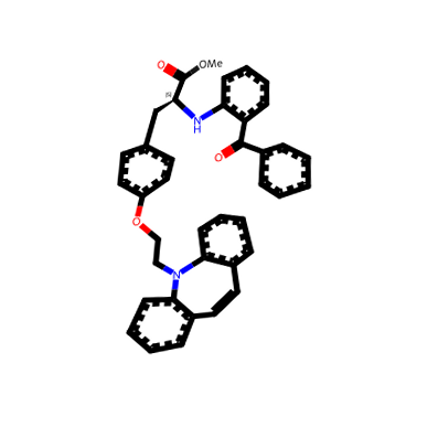 COC(=O)[C@H](Cc1ccc(OCCN2c3ccccc3C=Cc3ccccc32)cc1)Nc1ccccc1C(=O)c1ccccc1